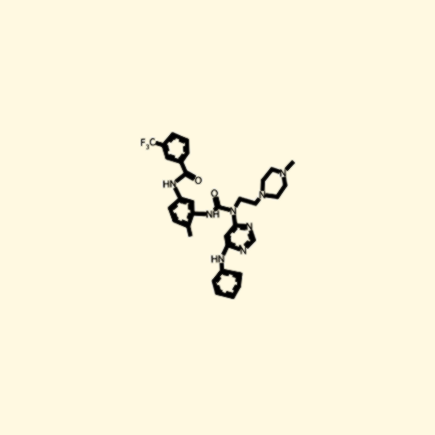 Cc1ccc(NC(=O)c2cccc(C(F)(F)F)c2)cc1NC(=O)N(CCN1CCN(C)CC1)c1cc(Nc2ccccc2)ncn1